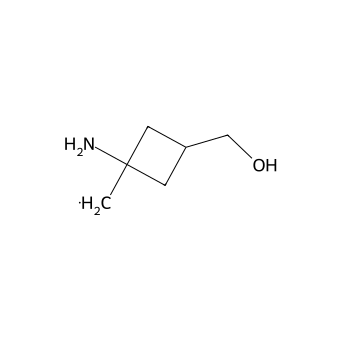 [CH2]C1(N)CC(CO)C1